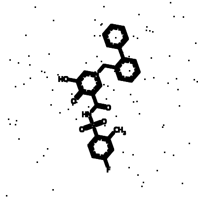 Cc1cc(F)ccc1S(=O)(=O)NC(=O)c1cn(Cc2ccccc2-c2ccccc2)cc(O)c1=O